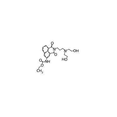 CCOC(=O)Nc1cc2c3c(cccc3c1)C(=O)N(CCCN(CCO)CCO)C2=O